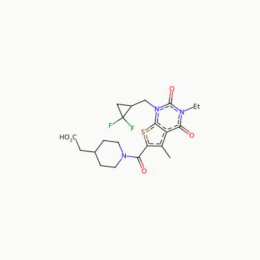 CCn1c(=O)c2c(C)c(C(=O)N3CCC(CC(=O)O)CC3)sc2n(CC2CC2(F)F)c1=O